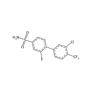 NS(=O)(=O)c1ccc(-c2ccc(C(F)(F)F)c(Cl)c2)c(F)c1